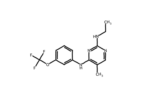 CCNc1ncc(C)c(Nc2cccc(OC(F)(F)F)c2)n1